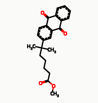 COC(=O)CCCCC(C)(C)c1ccc2c(c1)C(=O)c1ccccc1C2=O